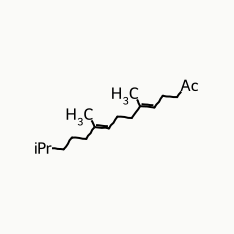 CC(=O)CC/C=C(\C)CC/C=C(\C)CCCC(C)C